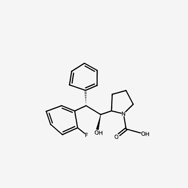 O=C(O)N1CCCC1[C@@H](O)[C@@H](c1ccccc1)c1ccccc1F